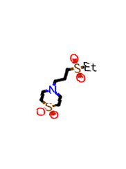 CCS(=O)(=O)CCCN1CCS(=O)(=O)CC1